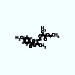 CCOC(=O)C(C)OCCC(C)OS(=O)(=O)c1ccc(C)cc1